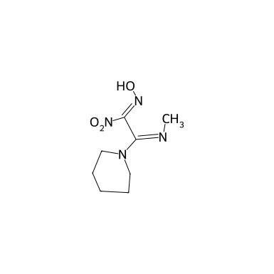 C/N=C(\C(=N\O)[N+](=O)[O-])N1CCCCC1